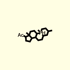 CC(=O)C1CCC2C3CCC4CC(C)CC[PH]4(C)C3CCC12C